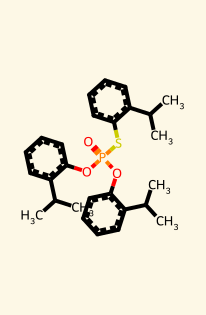 CC(C)c1ccccc1OP(=O)(Oc1ccccc1C(C)C)Sc1ccccc1C(C)C